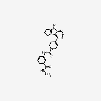 CNC(=O)c1cccc(NC(=O)N2CC=C(c3ncnc4[nH]c5c(c34)CCC5)CC2)c1